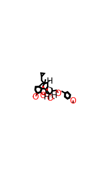 COc1ccc(COC[C@H]2C[C@@]34CC[C@]2(OC)[C@@H]2Oc5c(OC)ccc6c5[C@@]23CCC(C)(CC2CC2)[C@@H]4C6)cc1